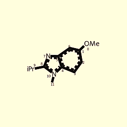 COc1ccc2c(c1)nc(C(C)C)n2C